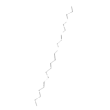 CCCCCCCCCCCCOCCOCCOCCO